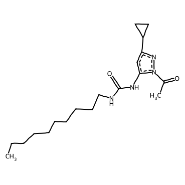 CCCCCCCCCCNC(=O)Nc1cc(C2CC2)nn1C(C)=O